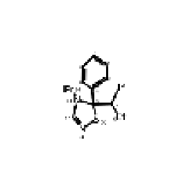 CCC(I)C1(c2ccccc2)SN=CN1C(C)C